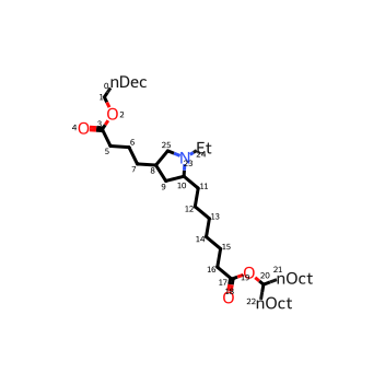 CCCCCCCCCCCOC(=O)CCCC1CC(CCCCCCC(=O)OC(CCCCCCCC)CCCCCCCC)N(CC)C1